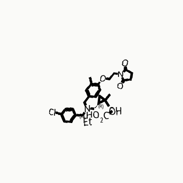 CC[C@H](c1ccc(Cl)cc1)N(Cc1ccc(OCCN2C(=O)CCC2=O)c(C)c1)C[C@@H]1CC1(C)C.O=C(O)O